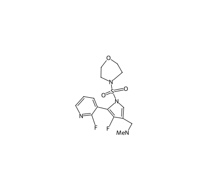 CNCc1cn(S(=O)(=O)N2CCOCC2)c(-c2cccnc2F)c1F